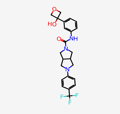 O=C(Nc1cccc(C2(O)COC2)c1)N1CC2CN(c3ccc(C(F)(F)F)cc3)CC2C1